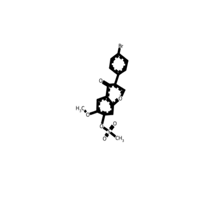 COc1cc2c(=O)c(-c3ccc(Br)cc3)coc2cc1OS(C)(=O)=O